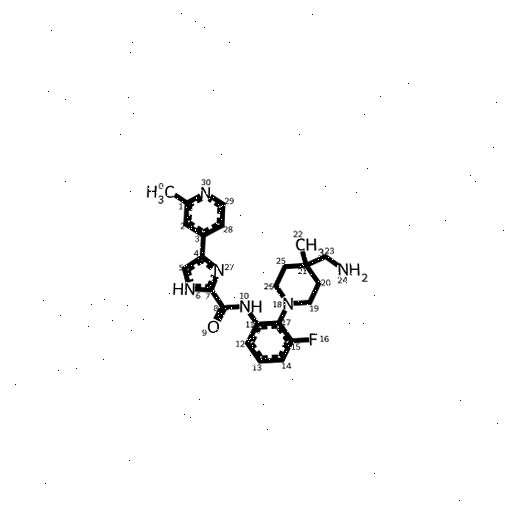 Cc1cc(-c2c[nH]c(C(=O)Nc3cccc(F)c3N3CCC(C)(CN)CC3)n2)ccn1